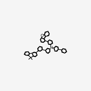 CC1(C)c2ccccc2-c2cc(-c3cccc(-c4cccc(N(c5ccc(-c6ccccc6)cc5)c5cccc(-c6cccc7oc8ccccc8c67)c5)c4)c3)ccc21